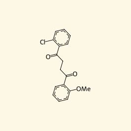 COc1ccccc1C(=O)CCC(=O)c1ccccc1Cl